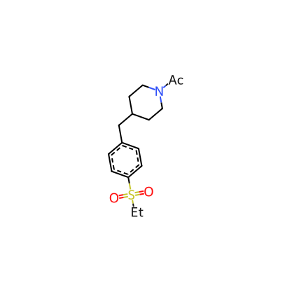 CCS(=O)(=O)c1ccc(CC2CCN(C(C)=O)CC2)cc1